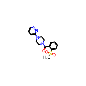 CS(=O)(=O)c1ccccc1C(=O)N1CCN(c2cccnn2)CC1